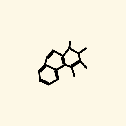 CC1=C(C)C(C)N(C)c2ccc3ccccc3c21